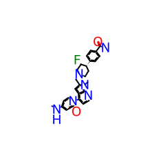 CNc1ccn(-c2ccnc3c2cc(CN2CC[C@@H](c4ccc(C(=O)N(C)C)cc4)[C@@H](F)C2)n3C)c(=O)c1